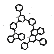 C1=CCCC(C2C=C(c3ccccc3)c3c(cc(-c4cccc(C5=CC(c6ccccc6)NC(c6cccc(-n7c8ccccc8c8ccccc87)c6)=N5)c4)c4ccccc34)N2)=C1